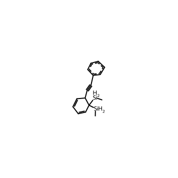 C[SiH2]C1([SiH2]C)C=CC=CC1C#Cc1ccccc1